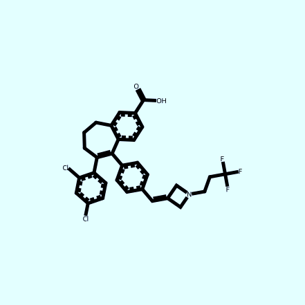 O=C(O)c1ccc2c(c1)CCCC(c1ccc(Cl)cc1Cl)=C2c1ccc(C=C2CN(CCC(F)(F)F)C2)cc1